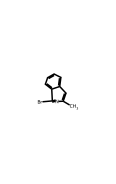 Cc1cc2ccccc2c(Br)n1